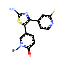 CC(C)n1cc(-c2sc(N)nc2-c2ccnc(F)c2)ccc1=O